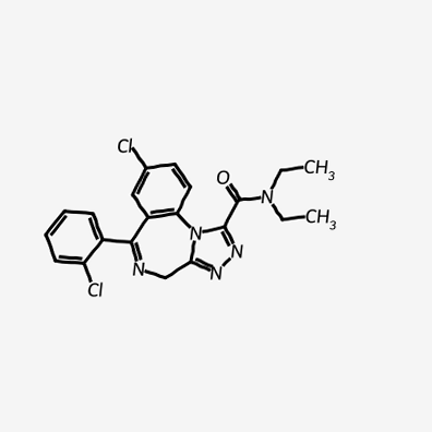 CCN(CC)C(=O)c1nnc2n1-c1ccc(Cl)cc1C(c1ccccc1Cl)=NC2